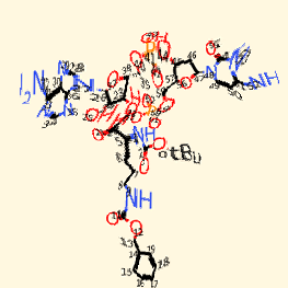 CC(C)(C)OC(=O)NC(CCCNC(=O)OCc1ccccc1)C(=O)O[C@H]1[C@@H](O)[C@H](n2cnc3c(N)ncnc32)O[C@@H]1COP(=O)(O)O[C@H]1C[C@H](n2ccc(N)nc2=O)O[C@H]1COP(=O)(O)O